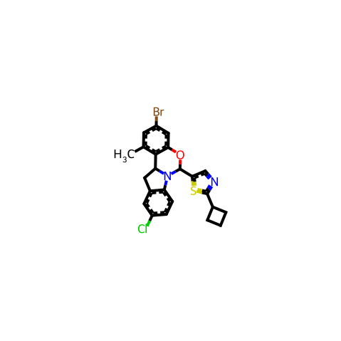 Cc1cc(Br)cc2c1C1Cc3cc(Cl)ccc3N1C(c1cnc(C3CCC3)s1)O2